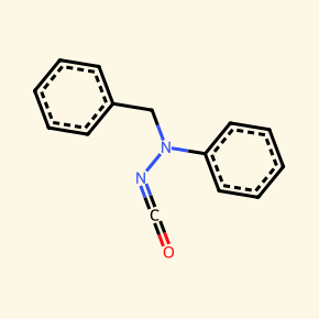 O=C=NN(Cc1ccccc1)c1ccccc1